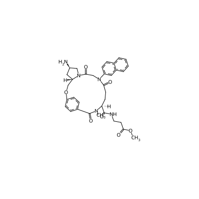 COC(=O)CCNC(=O)[C@@H]1CCC(=O)N(c2ccc3ccccc3c2)CC(=O)N2C[C@H](N)C[C@H]2COc2ccc(cc2)C(=O)N1C